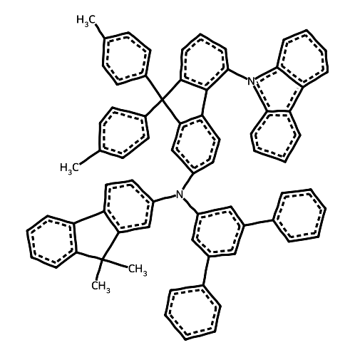 Cc1ccc(C2(c3ccc(C)cc3)c3cc(N(c4cc(-c5ccccc5)cc(-c5ccccc5)c4)c4ccc5c(c4)C(C)(C)c4ccccc4-5)ccc3-c3c(-n4c5ccccc5c5ccccc54)cccc32)cc1